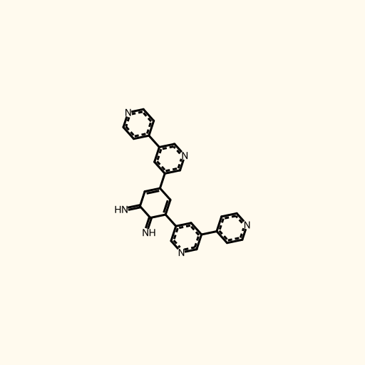 N=C1C=C(c2cncc(-c3ccncc3)c2)C=C(c2cncc(-c3ccncc3)c2)C1=N